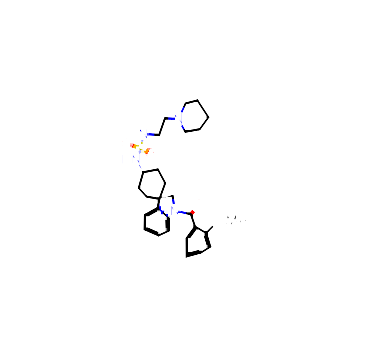 COc1ccccc1C(=O)NC[C@]1(c2ccccc2)CC[C@H](NS(=O)(=O)NCCN2CCCCC2)CC1